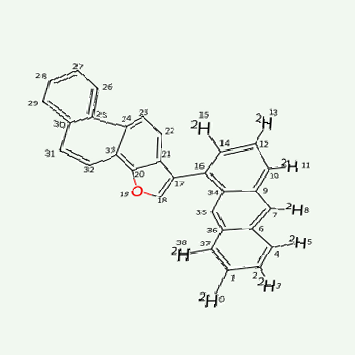 [2H]c1c([2H])c([2H])c2c([2H])c3c([2H])c([2H])c([2H])c(-c4coc5c4ccc4c6ccccc6ccc45)c3cc2c1[2H]